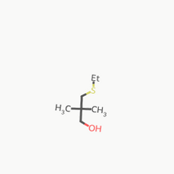 CCSCC(C)(C)CO